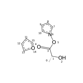 C[C@@H](O)C(=O)On1cccc1.c1ccoc1